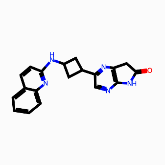 O=C1Cc2nc(C3CC(Nc4ccc5ccccc5n4)C3)cnc2N1